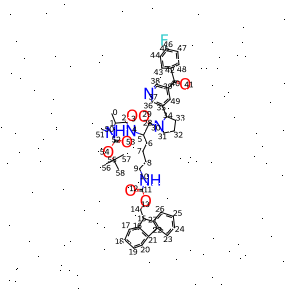 CC(C(=O)NC(CCCCNC(=O)OCC1c2ccccc2-c2ccccc21)C(=O)N1CCCC1c1cncc(C(=O)c2ccc(F)cc2)c1)N(C)C(=O)OC(C)(C)C